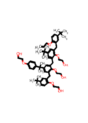 CCCOc1ccc(C(C)(C)C)cc1Cc1cc(C(C)(C)C)cc(Cc2cc(C(C)(C)c3ccc(OCCO)cc3)cc(Cc3cc(C(C)(C)C)ccc3OCCO)c2OCCO)c1OCCO